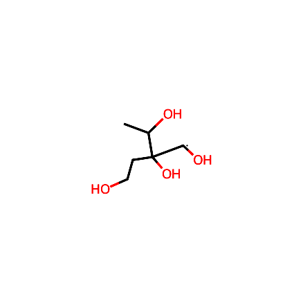 CC(O)C(O)([CH]O)CCO